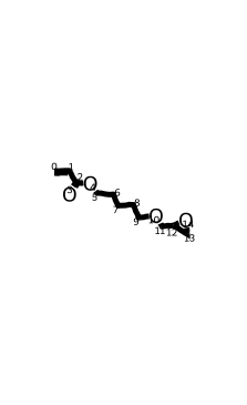 C=CC(=O)OCCCCCOCC1CO1